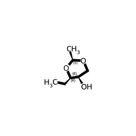 CC[C@H]1O[C@@H](C)OC[C@H]1O